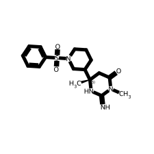 CN1C(=N)N[C@](C)(C2CCCN(S(=O)(=O)c3ccccc3)C2)CC1=O